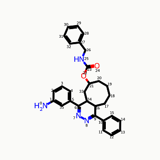 Nc1cccc(C2=NN=C(c3ccccc3)C3CCCCC(OC(=O)NCc4ccccc4)CC23)c1